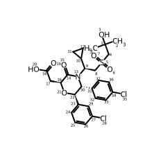 CC(C)(O)CS(=O)(=O)C[C@H](C1CC1)N1C(=O)[C@H](CC(=O)O)O[C@H](c2cccc(Cl)c2)[C@H]1c1ccc(Cl)cc1